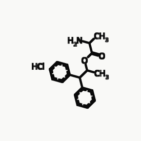 CC(N)C(=O)OC(C)C(c1ccccc1)c1ccccc1.Cl